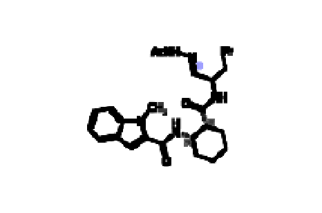 CC(=O)N/N=C/C(CC(C)C)NC(=O)[C@@H]1CCCC[C@@H]1NC(=O)c1cc2ccccc2n1C